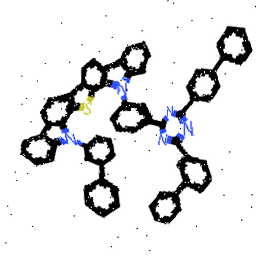 c1ccc(-c2ccc(-c3nc(-c4cccc(-c5ccccc5)c4)nc(-c4cccc(-n5c6ccccc6c6ccc7c8ccc9c%10ccccc%10n(-c%10cccc(-c%11ccccc%11)c%10)c9c8sc7c65)c4)n3)cc2)cc1